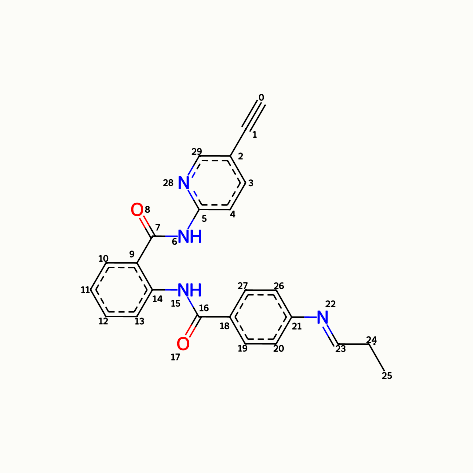 C#Cc1ccc(NC(=O)c2ccccc2NC(=O)c2ccc(N=C[CH]C)cc2)nc1